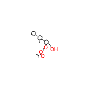 C=C(C)C(=O)OCCOc1cc(-c2ccc(-c3ccccc3)cc2C)ccc1CCO